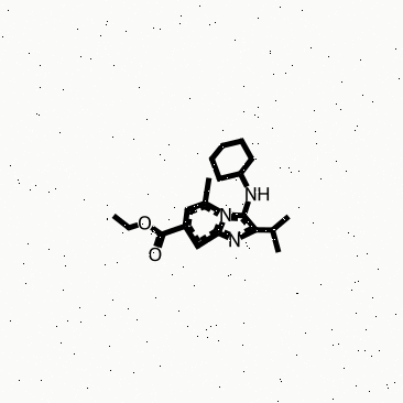 CCOC(=O)c1cc(C)n2c(NC3CCCCC3)c(C(C)C)nc2c1